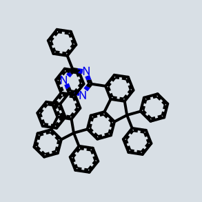 c1ccc(-c2nc(-c3ccccc3)nc(-c3cccc4c3-c3cc(C5(c6ccccc6)c6ccccc6-c6cc7ccccc7cc65)ccc3C4(c3ccccc3)c3ccccc3)n2)cc1